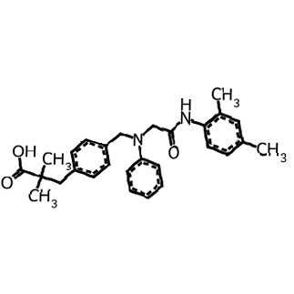 Cc1ccc(NC(=O)CN(Cc2ccc(CC(C)(C)C(=O)O)cc2)c2ccccc2)c(C)c1